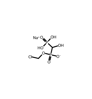 O=P(O)(O)C(O)P(=O)([O-])OCCl.[Na+]